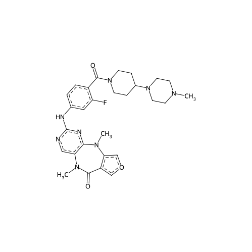 CN1CCN(C2CCN(C(=O)c3ccc(Nc4ncc5c(n4)N(C)c4cocc4C(=O)N5C)cc3F)CC2)CC1